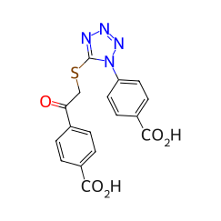 O=C(O)c1ccc(C(=O)CSc2nnnn2-c2ccc(C(=O)O)cc2)cc1